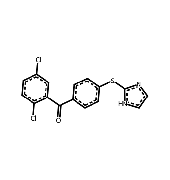 O=C(c1ccc(Sc2ncc[nH]2)cc1)c1cc(Cl)ccc1Cl